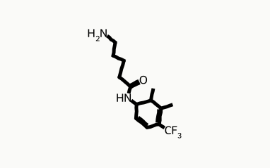 CC1=C(C(F)(F)F)C=CC(NC(=O)CCCCN)C1C